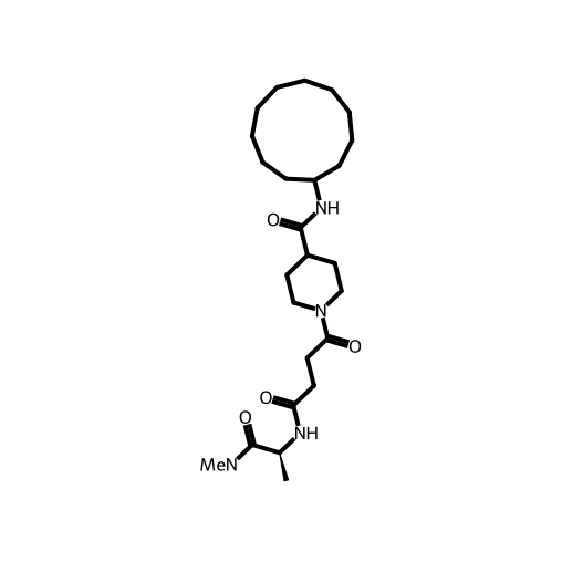 CNC(=O)[C@H](C)NC(=O)CCC(=O)N1CCC(C(=O)NC2CCCCCCCCCC2)CC1